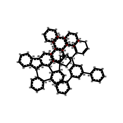 C1=CC(N(c2cc(-c3ccccc3)cc(-c3ccccc3)c2)c2cccc(-c3ccccc3)c2-c2ccccc2)=C(c2cccc(-c3cc4c5ccccc5n5c4c4c3C3(CCCC3)c3cccc(c3-4)-c3ccccc3-5)c2)CC1